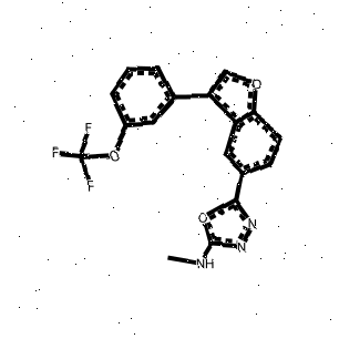 CNc1nnc(-c2ccc3occ(-c4cccc(OC(F)(F)F)c4)c3c2)o1